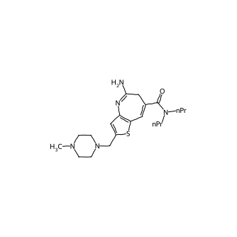 CCCN(CCC)C(=O)C1=Cc2sc(CN3CCN(C)CC3)cc2N=C(N)C1